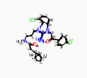 CN(CCCn1c(=N)n(CC(=O)c2ccc(Cl)cc2)c2cccc(Cl)c21)C(=O)CC1C[C@H]2CC[C@@H]1C2